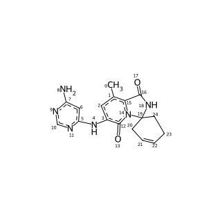 Cc1cc(Nc2cc(N)ncn2)c(=O)n2c1C(=O)NC21CC=CCC1